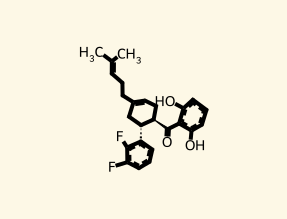 CC(C)=CCCC1=CC[C@@H](C(=O)c2c(O)cccc2O)[C@H](c2cccc(F)c2F)C1